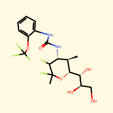 C[C@H]1[C@H]([C@H](O)[C@H](O)CO)OC(C)(F)C(F)[C@@H]1NC(=O)Nc1ccccc1OC(F)(F)F